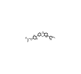 CCn1cc(-n2ccc(=O)c(Cc3cccc(-c4ncc(OCC(F)F)cn4)c3)n2)cn1